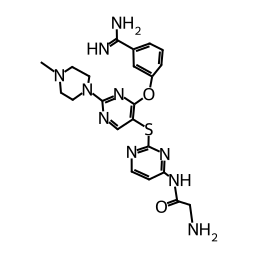 CN1CCN(c2ncc(Sc3nccc(NC(=O)CN)n3)c(Oc3cccc(C(=N)N)c3)n2)CC1